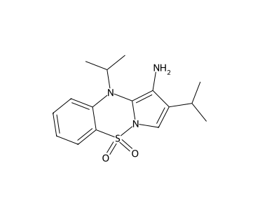 CC(C)c1cn2c(c1N)N(C(C)C)c1ccccc1S2(=O)=O